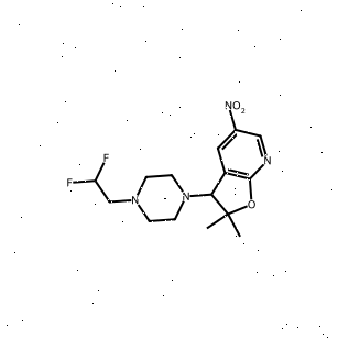 CC1(C)Oc2ncc([N+](=O)[O-])cc2C1N1CCN(CC(F)F)CC1